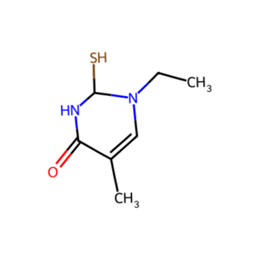 CCN1C=C(C)C(=O)NC1S